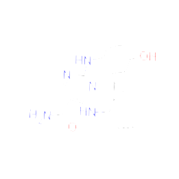 CC[C@H](Nc1nc(NC2CCC(O)CC2)ncc1C(N)=O)C1CC1